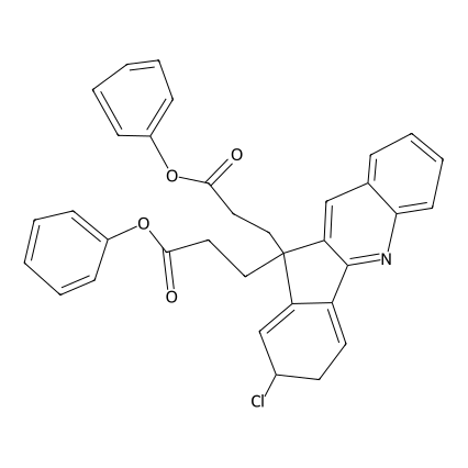 O=C(CCC1(CCC(=O)Oc2ccccc2)C2=CC(Cl)CC=C2c2nc3ccccc3cc21)Oc1ccccc1